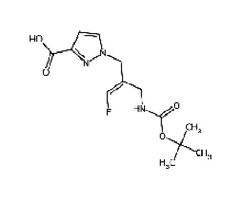 CC(C)(C)OC(=O)NCC(=CF)Cn1ccc(C(=O)O)n1